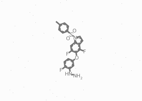 Cc1ccc(S(=O)(=O)n2ccc3c(F)c(Oc4ccc(F)c(NN)c4)c(F)cc32)cc1